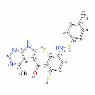 N#Cc1ncnc2[nH]cc(C(=O)c3c(F)ccc(NSc4ccc(C(F)(F)F)cc4)c3F)c12